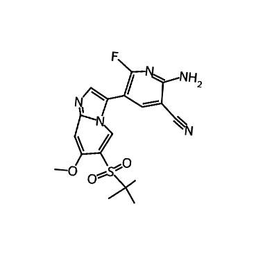 COc1cc2ncc(-c3cc(C#N)c(N)nc3F)n2cc1S(=O)(=O)C(C)(C)C